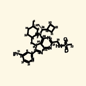 CC1CCC(Cn2c(-c3cc(C(C)C)ccn3)nc3nc(CNS(C)(=O)=O)nc(N[C@H](C)C4CCC4)c32)CC1